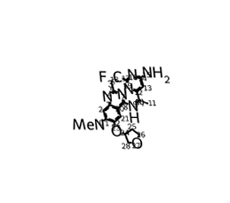 CNc1cc2nc(C)nc(N[C@H](C)c3cc(N)nc(C(F)(F)F)n3)c2cc1OC1CCOC1